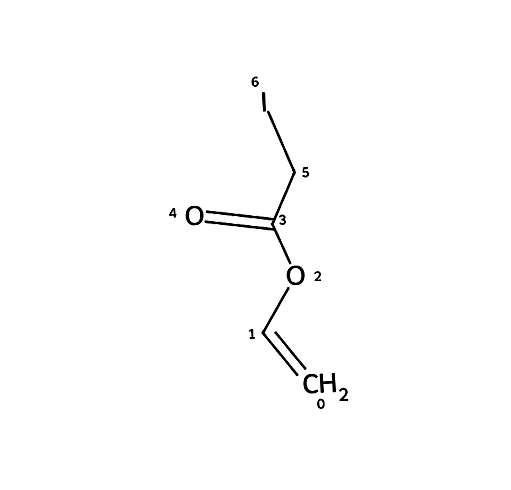 C=COC(=O)CI